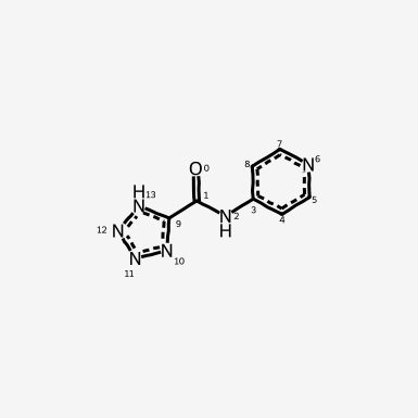 O=C(Nc1ccncc1)c1nnn[nH]1